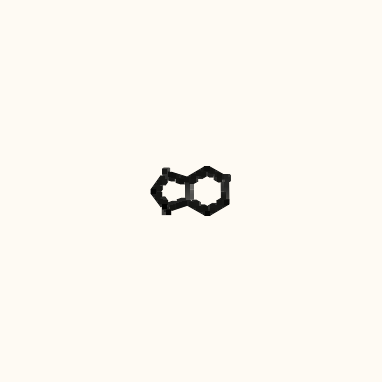 c1cc2ncsc2cp1